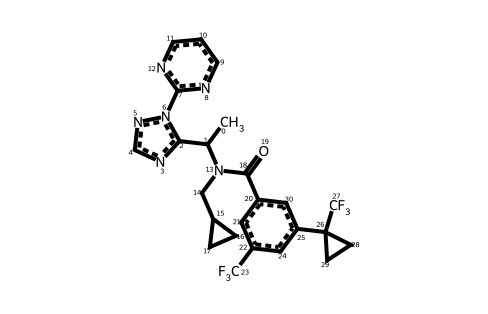 CC(c1ncnn1-c1ncccn1)N(CC1CC1)C(=O)c1cc(C(F)(F)F)cc(C2(C(F)(F)F)CC2)c1